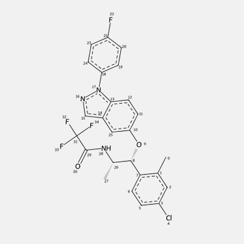 Cc1cc(Cl)ccc1[C@@H](Oc1ccc2c(cnn2-c2ccc(F)cc2)c1)[C@H](C)NC(=O)C(F)(F)F